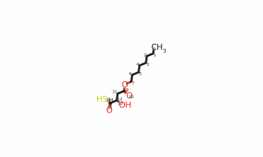 CCCCCCCCOC(=O)CC(O)C(=O)S